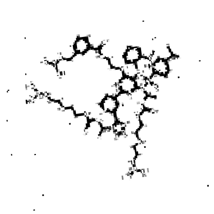 COc1ccccc1Oc1c(OCCOC(=O)c2cccc(CON(O)O)c2)nc(-c2ccnc(-c3nnnn3C(C)OC(=O)OCCOCCON(O)O)c2)nc1N(C(C)OC(=O)OCCOCCON(O)O)S(=O)(=O)c1ccc(C(C)C)cn1